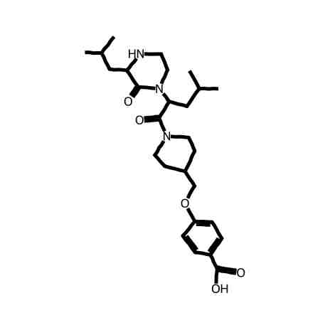 CC(C)CC1NCCN(C(CC(C)C)C(=O)N2CCC(COc3ccc(C(=O)O)cc3)CC2)C1=O